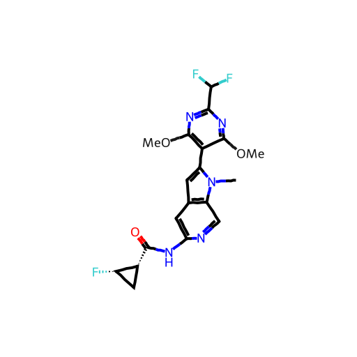 COc1nc(C(F)F)nc(OC)c1-c1cc2cc(NC(=O)[C@@H]3C[C@@H]3F)ncc2n1C